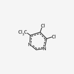 Clc1ncnc(C(Cl)(Cl)Cl)c1Cl